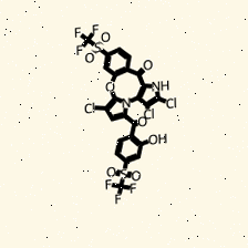 O=C1c2ccc(S(=O)(=O)C(F)(F)F)cc2Oc2c(Cl)cc(C(=O)c3ccc(S(=O)(=O)C(F)(F)F)cc3O)n2-c2c1[nH]c(Cl)c2Cl